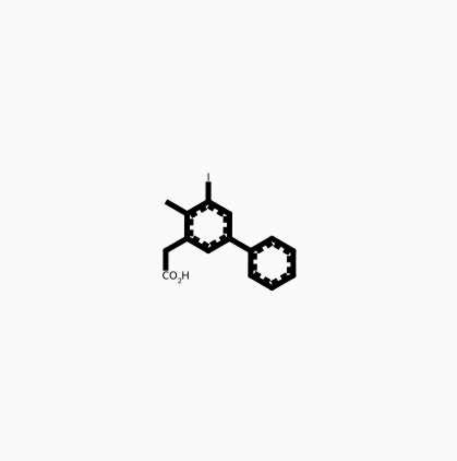 Cc1c(I)cc(-c2ccccc2)cc1CC(=O)O